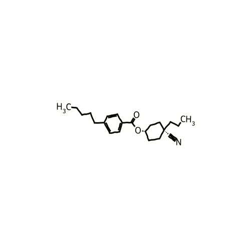 CCCCCc1ccc(C(=O)O[C@H]2CC[C@](C#N)(CCC)CC2)cc1